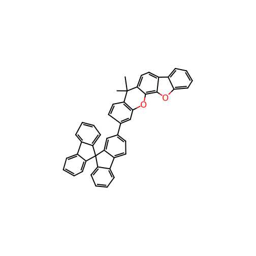 CC1(C)c2ccc(-c3ccc4c(c3)C3(c5ccccc5-c5ccccc53)c3ccccc3-4)cc2Oc2c1ccc1c2oc2ccccc21